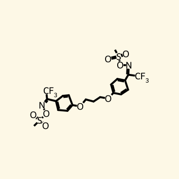 CS(=O)(=O)O/N=C(\c1ccc(OCCCOc2ccc(/C(=N\OS(C)(=O)=O)C(F)(F)F)cc2)cc1)C(F)(F)F